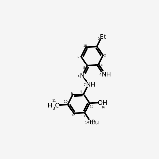 CCC1=CC(=N)/C(=N\Nc2cc(C)cc(C(C)(C)C)c2O)C=C1